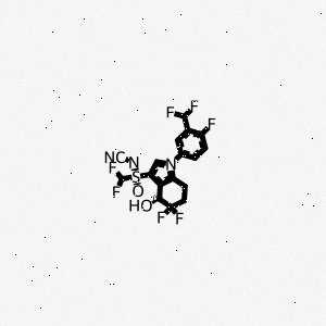 N#CN=S(=O)(c1cn(-c2ccc(F)c(C(F)F)c2)c2c1[C@H](O)C(F)(F)CC2)C(F)F